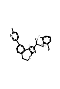 Cc1ccc(-c2ccc3c(c2)-c2sc(C(=O)Nc4c(F)cccc4F)nc2CCC3)cn1